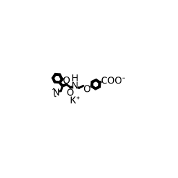 CN(C)Cc1c(C(=O)NCCOc2ccc(C(=O)[O-])cc2)oc2ccccc12.[K+]